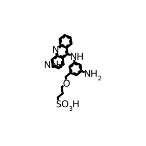 Nc1cc(COCCCS(=O)(=O)O)cc(Nc2c3ccccc3nc3ccccc23)c1.[NaH]